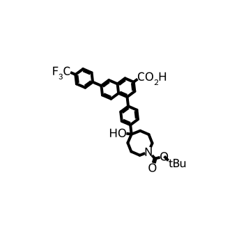 CC(C)(C)OC(=O)N1CCCC(O)(c2ccc(-c3cc(C(=O)O)cc4cc(-c5ccc(C(F)(F)F)cc5)ccc34)cc2)CCC1